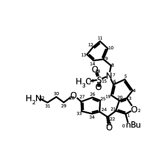 CCCCc1oc2ccc(N(Cc3ccccc3)S(C)(=O)=O)cc2c1C(=O)c1ccc(OCCCN)cc1